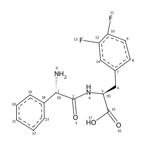 N[C@H](C(=O)N[C@@H](Cc1ccc(F)c(F)c1)C(=O)O)c1ccccc1